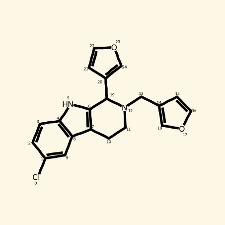 Clc1ccc2[nH]c3c(c2c1)CCN(Cc1ccoc1)C3c1ccoc1